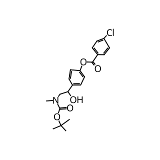 CN(CC(O)c1ccc(OC(=O)c2ccc(Cl)cc2)cc1)C(=O)OC(C)(C)C